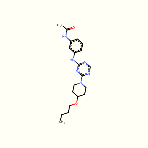 CCCCOC1CCN(c2ncnc(Nc3cccc(NC(C)=O)c3)n2)CC1